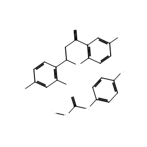 NNC(=O)Nc1ccc(Br)cc1.O=C1CC(c2ccc(Cl)cc2Cl)Nc2ccc(Cl)cc21